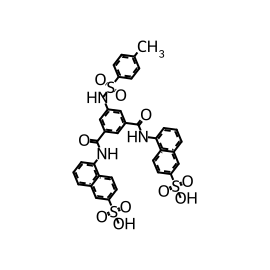 Cc1ccc(S(=O)(=O)Nc2cc(C(=O)Nc3cccc4cc(S(=O)(=O)O)ccc34)cc(C(=O)Nc3cccc4cc(S(=O)(=O)O)ccc34)c2)cc1